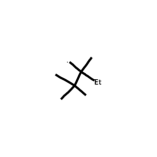 [CH2]C(C)(CC)C(C)(C)C